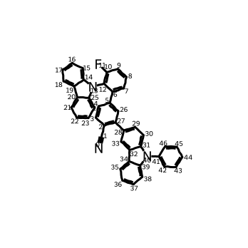 N#Cc1ccc(-c2cccc(F)c2-n2c3ccccc3c3ccccc32)cc1-c1ccc2c(c1)c1ccccc1n2-c1ccccc1